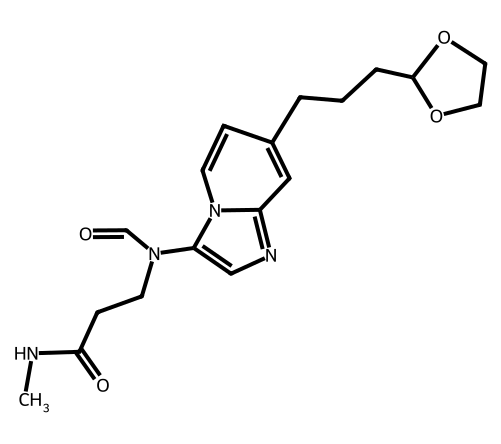 CNC(=O)CCN(C=O)c1cnc2cc(CCCC3OCCO3)ccn12